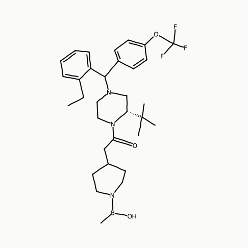 CCc1ccccc1C(c1ccc(OC(F)(F)F)cc1)N1CCN(C(=O)CC2CCN(B(C)O)CC2)[C@@H](C(C)(C)C)C1